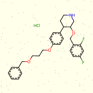 Cl.Fc1ccc(COC2CNCCC2c2ccc(OCCCOCc3ccccc3)cc2)c(F)c1